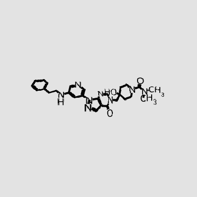 CN(C)C(=O)N1CCC(O)(Cn2cnc3c(cnn3-c3cncc(NCCc4ccccc4)c3)c2=O)CC1